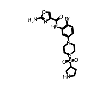 Nc1nc(C(=O)Nc2cc(N3CCN(S(=O)(=O)C4CCNC4)CC3)ccc2Br)co1